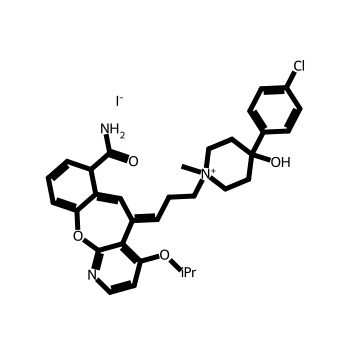 CC(C)Oc1ccnc2c1C(=CCC[N+]1(C)CCC(O)(c3ccc(Cl)cc3)CC1)C=C1C(=CC=CC1C(N)=O)O2.[I-]